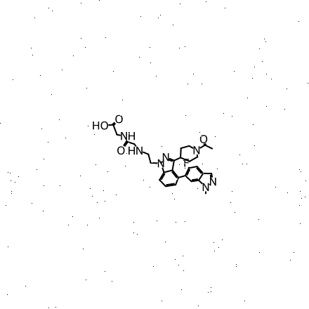 CC(=O)N1CCC(c2nn(CCNCC(=O)NCC(=O)O)c3cccc(-c4cc5c(cnn5C)cc4F)c23)CC1